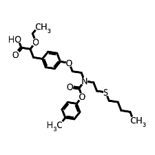 CCCCCSCCN(CCOc1ccc(CC(OCC)C(=O)O)cc1)C(=O)Oc1ccc(C)cc1